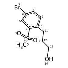 CS(=O)(=O)c1cc(Br)ccc1CCCO